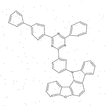 c1ccc(-c2ccc(-c3nc(-c4ccccc4)nc(-c4cccc(-n5c6ccccc6c6ccc7oc8ccccc8c7c65)c4)n3)cc2)cc1